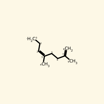 [CH2]CC=C(C)CCC(=C)C